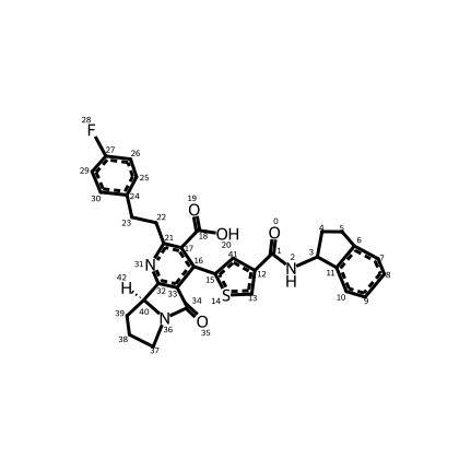 O=C(NC1CCc2ccccc21)c1csc(-c2c(C(=O)O)c(CCc3ccc(F)cc3)nc3c2C(=O)N2CCC[C@@H]32)c1